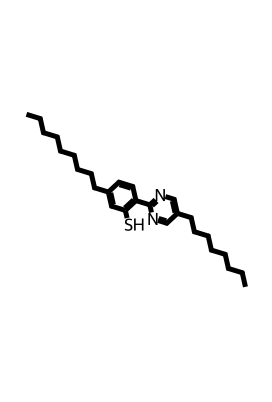 CCCCCCCCCc1ccc(-c2ncc(CCCCCCCC)cn2)c(S)c1